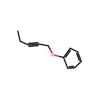 CCC#CCOc1ccccc1